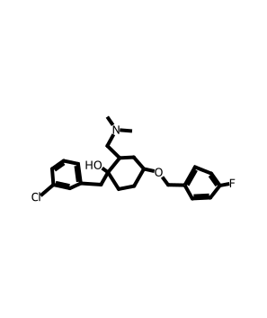 CN(C)CC1CC(OCc2ccc(F)cc2)CCC1(O)Cc1cccc(Cl)c1